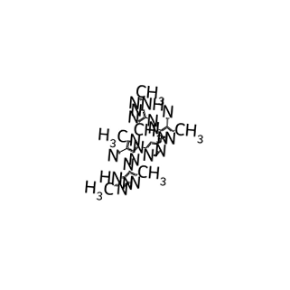 Cc1nn2nc(C)c(/N=N/c3c(C#N)c(C)nn3-c3cc(-n4nc(C)c(C#N)c4/N=N/c4c(C)nn5nc(C)[nH]c45)ncn3)c2[nH]1